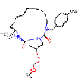 CCOCOC1CC2C(=O)NC3(C(=O)OCC)CC3/C=C/CCCCCN(Cc3ccc(OC)cc3)C(=O)N2C1